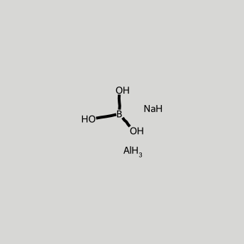 OB(O)O.[AlH3].[NaH]